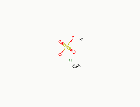 O=S(=O)([O-])[O-].[Cl-].[Cu+2].[K+]